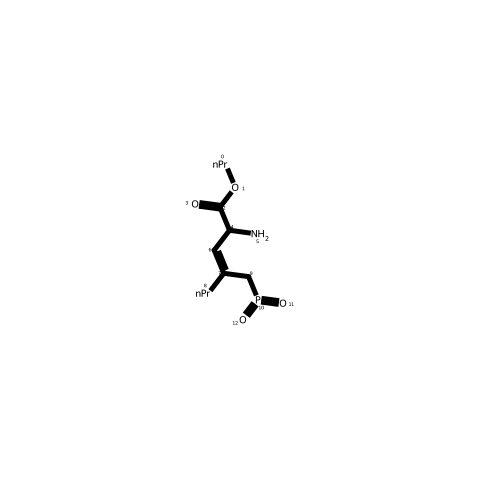 CCCOC(=O)C(N)C=C(CCC)CP(=O)=O